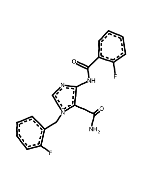 NC(=O)c1c(NC(=O)c2ccccc2F)ncn1Cc1ccccc1F